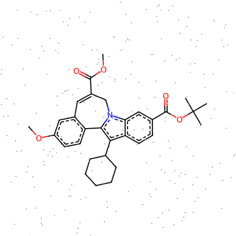 COC(=O)C1=Cc2cc(OC)ccc2-c2c(C3CCCCC3)c3ccc(C(=O)OC(C)(C)C)cc3n2C1